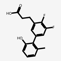 Cc1cccc(O)c1-c1cc(F)c(F)c(CCC(=O)O)c1